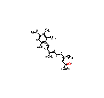 COC(=O)C=C(C)CCC=C(C)C=Cc1c(C)cc(OC)c(C)c1C